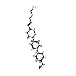 FCCC/C=C/C1CCC(c2ccc(-c3ccc(CF)cc3)cc2)CC1